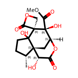 COC(=O)[C@]1(O)[C@@H]2C[C@]3([C@H](C)CCC3(O)[C@]13COC3=O)[C@@H](O)C(=O)O2